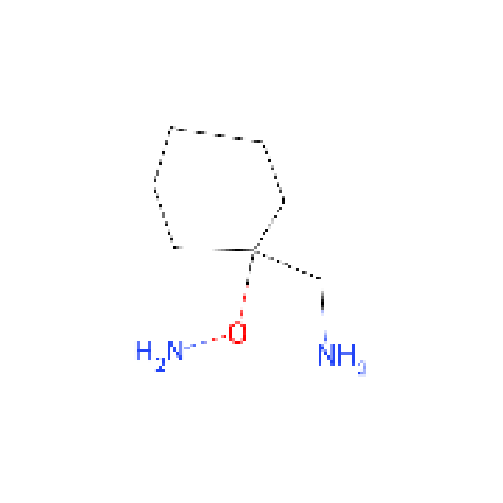 NCC1(ON)CCCCC1